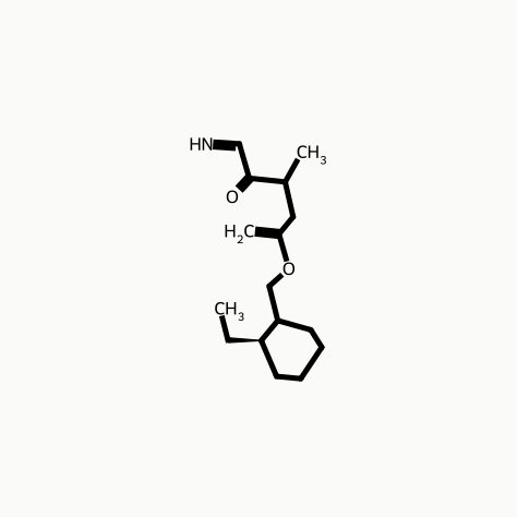 C=C(CC(C)C(=O)C=N)OCC1CCCC[C@H]1CC